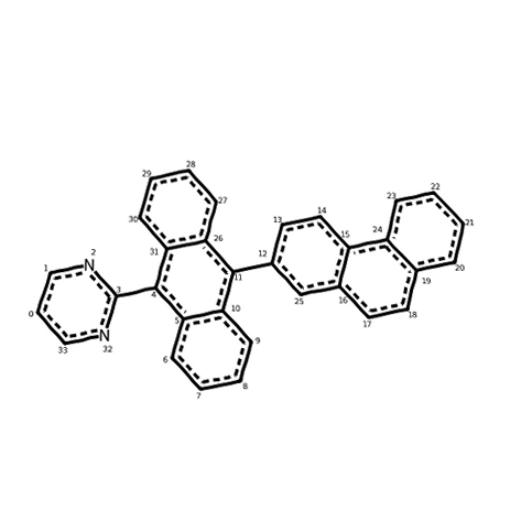 c1cnc(-c2c3ccccc3c(-c3ccc4c(ccc5ccccc54)c3)c3ccccc23)nc1